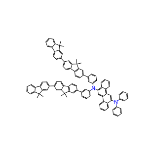 CC1(C)c2ccccc2-c2ccc(-c3ccc4c(c3)C(C)(C)c3cc(-c5cccc(N(c6cccc(-c7ccc8c(c7)C(C)(C)c7cc(-c9ccc%10c(c9)C(C)(C)c9ccccc9-%10)ccc7-8)c6)c6cc7c8ccccc8c(N(c8ccccc8)c8ccccc8)cc7c7ccccc67)c5)ccc3-4)cc21